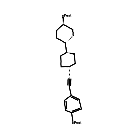 CCCCCc1ccc(C#C[C@H]2CC[C@H]([C@H]3CC[C@H](CCCCC)CC3)CC2)cc1